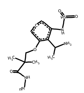 CCCNC(=O)C(C)(C)COc1cccc(N[SH](=O)=O)c1C(C)N